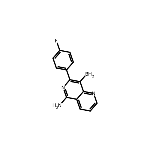 Bc1c(-c2ccc(F)cc2)nc(N)c2cccnc12